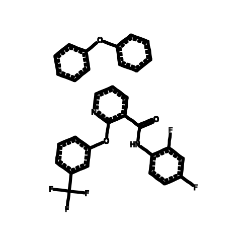 O=C(Nc1ccc(F)cc1F)c1cccnc1Oc1cccc(C(F)(F)F)c1.c1ccc(Oc2ccccc2)cc1